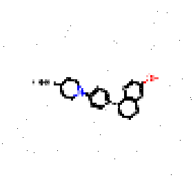 O=CC1CCN(c2ccc([C@@H]3CCCc4cc(O)ccc43)cc2)CC1